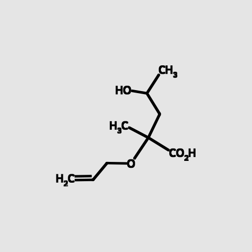 C=CCOC(C)(CC(C)O)C(=O)O